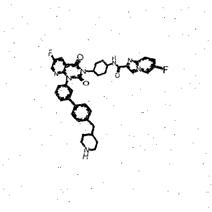 O=C(NC1CCC(n2c(=O)c3cc(F)cnc3n(-c3cccc(-c4ccc(CC5CCNCC5)cc4)c3)c2=O)CC1)c1cn2cc(F)ccc2n1